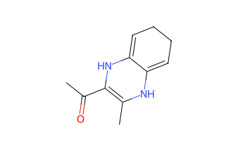 CC(=O)C1=C(C)NC2=CCCC=C2N1